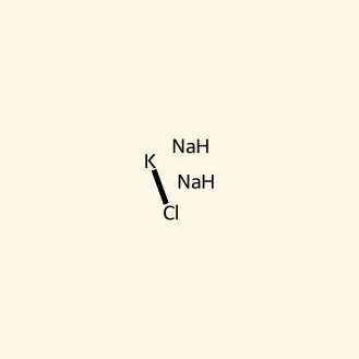 [Cl][K].[NaH].[NaH]